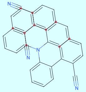 N#Cc1ccccc1-c1ccccc1N(c1ccccc1-c1ccccc1C#N)c1ccccc1-c1ccccc1C#N